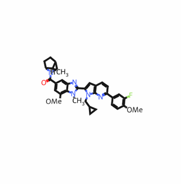 COc1ccc(-c2ccc3cc(-c4nc5cc(C(=O)N6CC7CCC6[C@@H]7C)cc(OC)c5n4C)n(CC4CC4)c3n2)cc1F